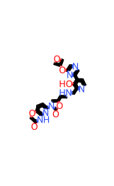 O=C1COc2ccc(N3CC(CCNCc4nccc(-c5cncc(OC6COC6)n5)c4O)OC3=O)nc2N1